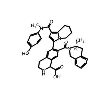 C[C@@H]1Cc2ccccc2CN1C(=O)c1cc2c(cc1-c1cc(C(=O)N(C)c3ccc(O)cc3)c3n1CCCC3)CCNC2C(=O)O